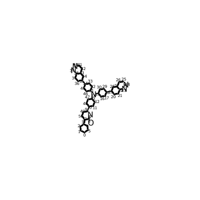 c1ccc2c(c1)oc1nc(-c3ccc(N(c4ccc(-c5ccc6nnccc6c5)cc4)c4ccc(-c5ccc6nnccc6c5)cc4)cc3)ccc12